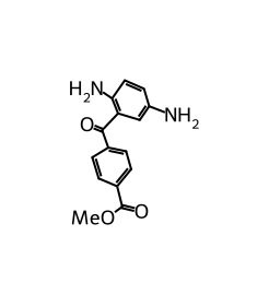 COC(=O)c1ccc(C(=O)c2cc(N)ccc2N)cc1